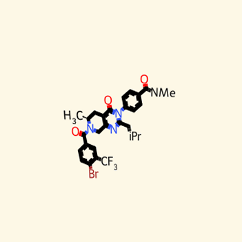 CNC(=O)c1ccc(-n2c(CC(C)C)nc3c(c2=O)C[C@@H](C)N(C(=O)c2ccc(Br)c(C(F)(F)F)c2)C3)cc1